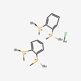 C[P@](c1ccccc1[P@@](C)C(C)(C)C)C(C)(C)C.C[P@](c1ccccc1[P@@](C)C(C)(C)C)C(C)(C)C.[Cl][Au]